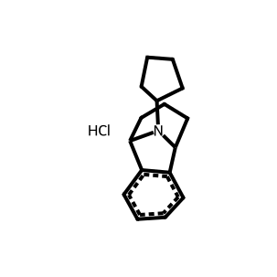 Cl.c1ccc2c(c1)C1CCCC2N1C1CCCC1